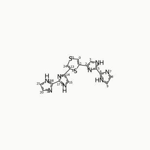 C1=C(c2c[nH]c(-c3ncc[nH]3)n2)SC(c2c[nH]c(-c3ncc[nH]3)n2)=CS1